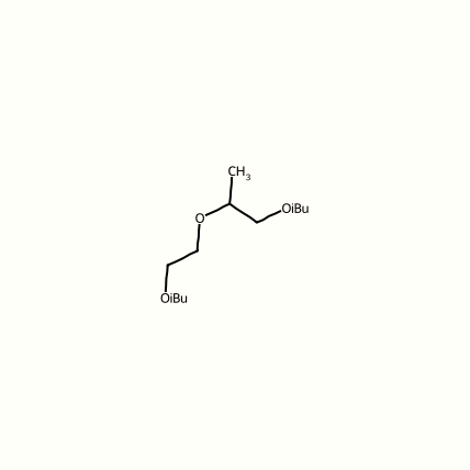 CC(C)COCCOC(C)COCC(C)C